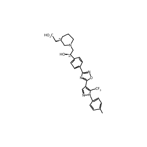 Cc1ccc(-n2ncc(-c3nc(-c4ccc([C@@H](O)CN5CCC[C@H](CC(=O)O)C5)cc4)no3)c2C(F)(F)F)cc1